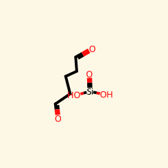 O=CCCCC=O.O=[Si](O)O